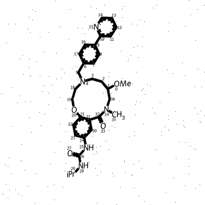 COC1CCN(Cc2ccc(-c3ccccn3)cc2)CCOc2ccc(NC(=O)NC(C)C)cc2C(=O)N(C)C1